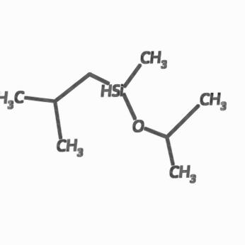 CC(C)C[SiH](C)OC(C)C